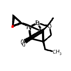 CCC12COB(N(C3CC3)C1=O)N(C1CC1)C2=O